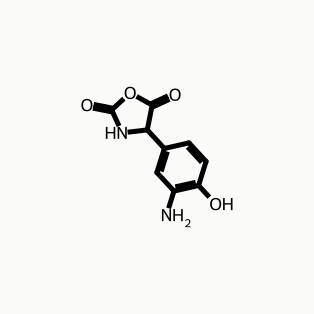 Nc1cc(C2NC(=O)OC2=O)ccc1O